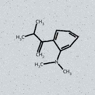 C=C(c1ccccc1N(C)C)C(C)C